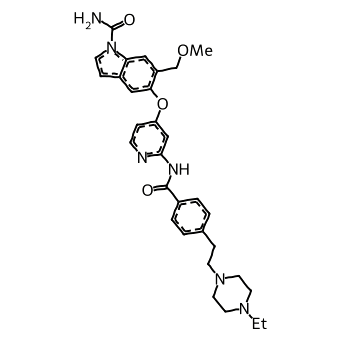 CCN1CCN(CCc2ccc(C(=O)Nc3cc(Oc4cc5ccn(C(N)=O)c5cc4COC)ccn3)cc2)CC1